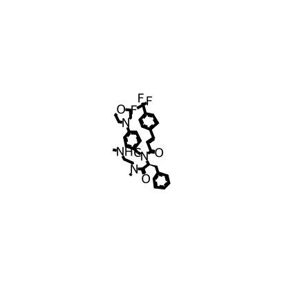 CNCCN(C)C(=O)[C@H](Cc1ccccc1)N(Cc1ccc(N2CCOCC2)cc1)C(=O)C=Cc1ccc(C(F)(F)F)cc1